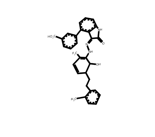 Cc1ccccc1CCC1C=CC(C(F)(F)F)=C(NN=C2C(=O)Nc3cccc(-c4cccc(C(=O)O)c4)c32)C1O